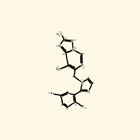 CCc1c(Cn2ccnc2-c2cc(F)ccc2F)ncn2nc(C)nc12